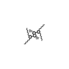 CCCCCCc1cc(CCCCCC)cc(-c2cc(Br)cc3c(-c4cc(CCCCCC)cc(CCCCCC)c4)cc(Br)cc23)c1